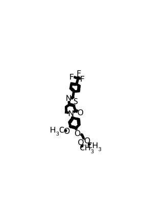 COc1cc(N2CCc3nc(-c4ccc(C(F)(F)F)cc4)sc3C2=O)ccc1OCC(OC)OC